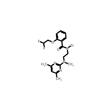 CCN(CCN(C)c1nc(C)cc(C)n1)C(=O)c1ccccc1OCC(F)F